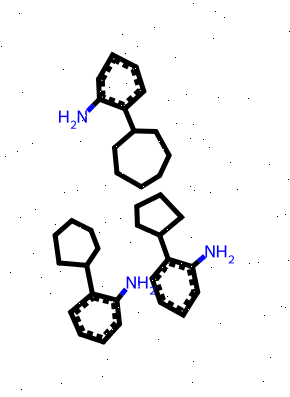 Nc1ccccc1C1CCCC1.Nc1ccccc1C1CCCCC1.Nc1ccccc1C1CCCCCC1